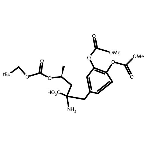 COC(=O)Oc1ccc(CC(N)(C[C@H](C)OC(=O)OCC(C)(C)C)C(=O)O)cc1OC(=O)OC